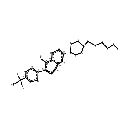 CCCCCC[C@H]1CC[C@H](c2ccc3c(F)c(-c4ccc(C(F)(F)F)cc4)ccc3c2)CC1